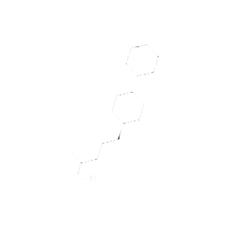 CC(CCC[C@H]1CC[C@H](C2CCCCC2)CC1)C(=O)O